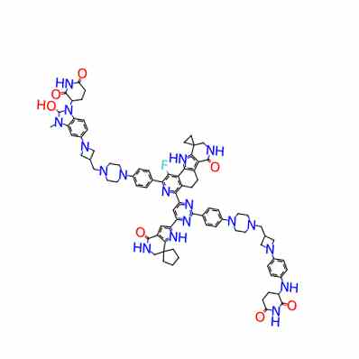 CN1c2cc(N3CC(CN4CCN(c5ccc(-c6nc(-c7cc(-c8cc9c([nH]8)C8(CCCC8)CNC9=O)nc(-c8ccc(N9CCN(CC%10CN(c%11ccc(NC%12CCC(=O)NC%12=O)cc%11)C%10)CC9)cc8)n7)c7c(c6F)-c6[nH]c8c(c6CC7)C(=O)NCC86CC6)cc5)CC4)C3)ccc2N(C2CCC(=O)NC2=O)C1O